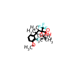 COc1cccc(C(C)(C)C(C)C(O[Si](C)(C)C)(C(=O)O)C(F)(F)F)c1F